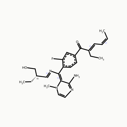 C/C=C\C=C(/CC)C(=O)c1ccc(C(/N=C/[C@H](CC)CO)=C2\C(N)=NC=CN2C)c(F)c1